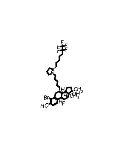 C[C@]12C[C@H](F)[C@@H]3c4ccc(O)c(Br)c4C[C@@H](CCCCCN4CCC[C@H]4CCCCCC(F)(F)C(F)(F)F)[C@H]3[C@@H]1CC[C@@]2(C)O